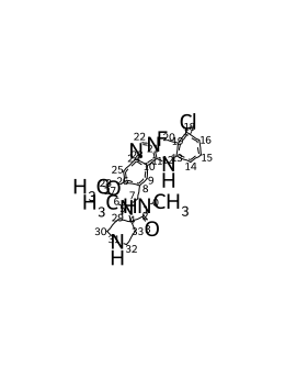 CNC(=O)C1(N(C)Cc2cc3c(Nc4cccc(Cl)c4F)ncnc3cc2OC)CCNCC1